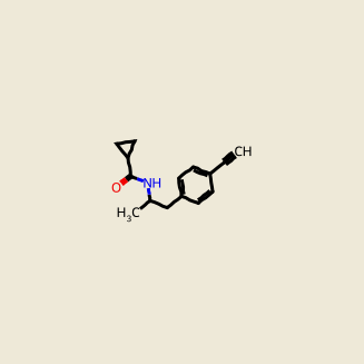 C#Cc1ccc(CC(C)NC(=O)C2CC2)cc1